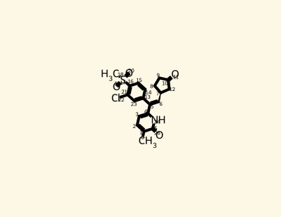 Cc1ccc(C(=C[C@H]2CCC(=O)C2)c2ccc(S(C)(=O)=O)c(Cl)c2)[nH]c1=O